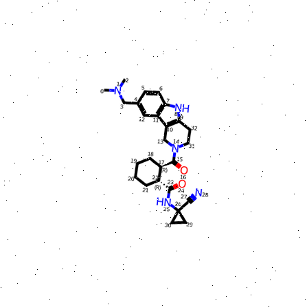 CN(C)Cc1ccc2[nH]c3c(c2c1)CN(C(=O)[C@@H]1CCCC[C@H]1C(=O)NC1(C#N)CC1)CC3